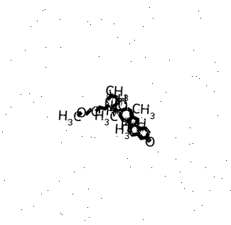 COCCOCCN1C[C@@H](C)C[C@H]2OC3(CC[C@@H]4C(=C(C)C3)C[C@H]3C4CCC4=CC(=O)CC[C@@]43C)[C@H](C)[C@@H]21